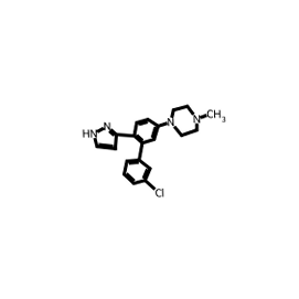 CN1CCN(c2ccc(-c3cc[nH]n3)c(-c3cccc(Cl)c3)c2)CC1